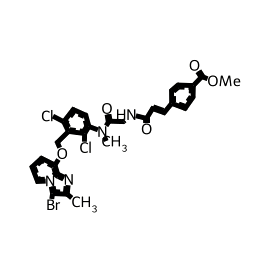 COC(=O)c1ccc(C=CC(=O)NCC(=O)N(C)c2ccc(Cl)c(COc3cccn4c(Br)c(C)nc34)c2Cl)cc1